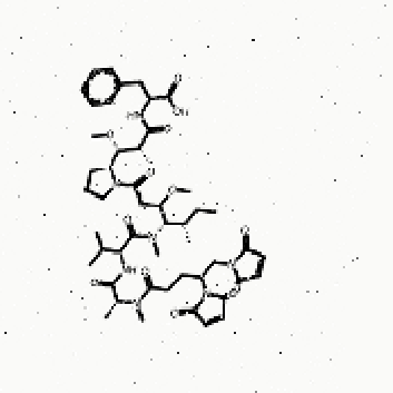 CC[C@H](C)[C@@H]([C@@H](CC(=O)N1CCC[C@H]1[C@H](OC)[C@@H](C)C(=O)NC(Cc1ccccc1)C(=O)O)OC)N(C)C(=O)[C@@H](NC(=O)[C@H](C)N(C)C(=O)CCC(CN1C(=O)C=CC1=O)N1C(=O)C=CC1=O)C(C)C